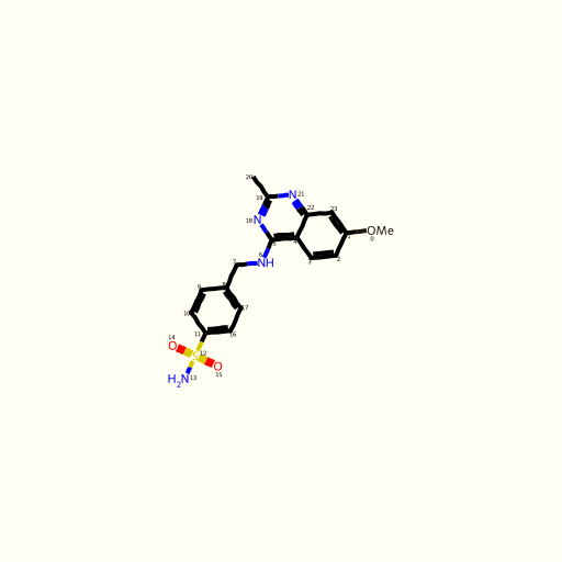 COc1ccc2c(NCc3ccc(S(N)(=O)=O)cc3)nc(C)nc2c1